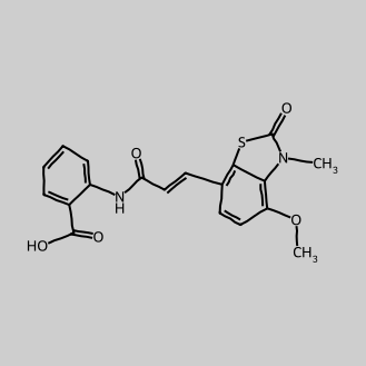 COc1ccc(/C=C/C(=O)Nc2ccccc2C(=O)O)c2sc(=O)n(C)c12